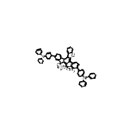 CC1(C)c2cc(-c3ccc(N(c4ccccc4)c4ccccc4)cc3)ccc2-c2c1c1c(c3c2oc2ccccc23)-c2ccc(-c3ccc(N(c4ccccc4)c4ccccc4)cc3)cc2C1(C)C